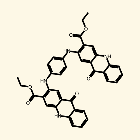 CCOC(=O)c1cc2[nH]c3ccccc3c(=O)c2cc1Nc1ccc(Nc2cc3c(=O)c4ccccc4[nH]c3cc2C(=O)OCC)cc1